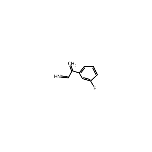 C=C(C=N)c1cccc(F)c1